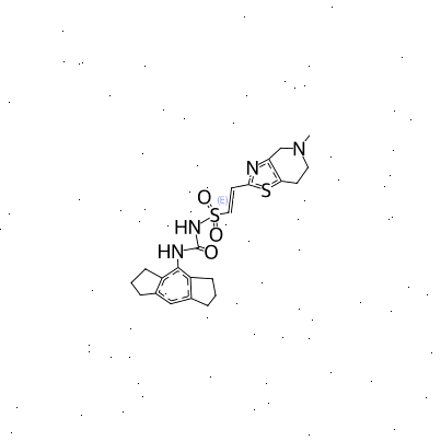 CN1CCc2sc(/C=C/S(=O)(=O)NC(=O)Nc3c4c(cc5c3CCC5)CCC4)nc2C1